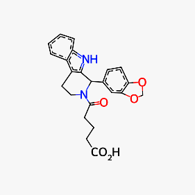 O=C(O)CCCC(=O)N1CCc2c([nH]c3ccccc23)C1c1ccc2c(c1)OCO2